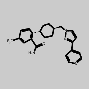 NC(=O)c1cc(C(F)(F)F)ccc1[C@H]1CC[C@H](Cn2ccc(-c3ccncc3)n2)CC1